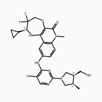 C[C@H]1CN(c2ncc(Cl)c(Nc3ccc4c(c3)c3c(c(=O)n4C)OCC(F)(F)[C@H](C4CC4)N3)n2)C[C@H]1CO